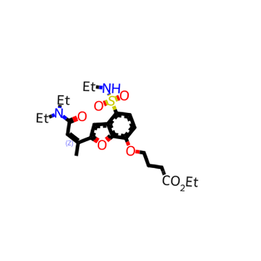 CCNS(=O)(=O)c1ccc(OCCCC(=O)OCC)c2oc(/C(C)=C\C(=O)N(CC)CC)cc12